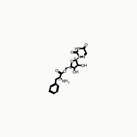 N[C@@H](Cc1ccccc1)C(=O)OC[C@H]1O[C@@H](n2ncc(=O)[nH]c2=O)C(O)C1O